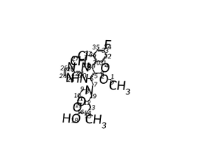 CCOC(=O)C1=C(CN2CCO[C@H](CC(C)C(=O)O)C2)NC(c2nccn2C)=N[C@H]1c1ccc(F)cc1Cl